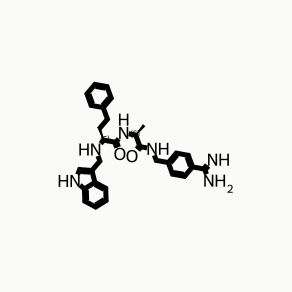 C[C@H](NC(=O)[C@H](CCc1ccccc1)NCc1c[nH]c2ccccc12)C(=O)NCc1ccc(C(=N)N)cc1